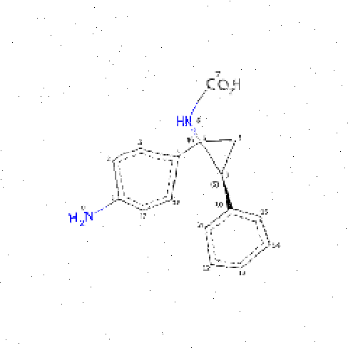 Nc1ccc([C@@]2(NC(=O)O)C[C@H]2c2ccccc2)cc1